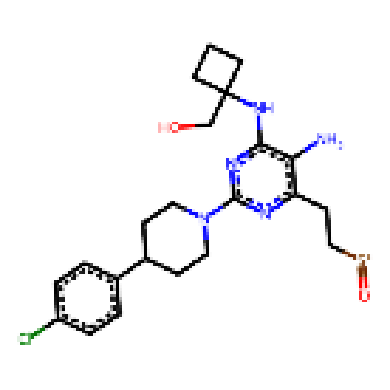 Nc1c(CC[S+]=O)nc(N2CCC(c3ccc(Cl)cc3)CC2)nc1NC1(CO)CCC1